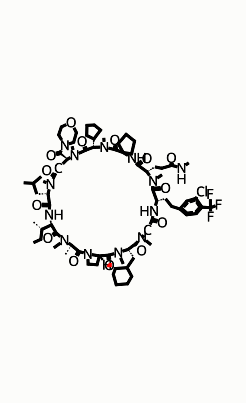 CC[C@H](C)[C@@H]1NC(=O)[C@H](CC(C)C)N(C)C(=O)C[C@@H](C(=O)N2CCOCC2)N(C)C(=O)[C@H](C2CCCC2)N(C)C(=O)C2(CCCC2)NC(=O)[C@H](CCC(=O)NC)N(C)C(=O)[C@H](CCc2ccc(C(F)(F)F)c(Cl)c2)NC(=O)CN(C)C(=O)[C@H](CC2CCCCC2)N(C)C(=O)[C@@H]2CCN2C(=O)[C@H](C)N(C)C1=O